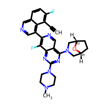 C#Cc1c(F)ccc2cncc(-c3ncc4c(N5C[C@H]6CC[C@@H](C5)O6)nc(N5CCN(C)CC5)nc4c3F)c12